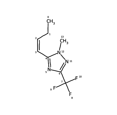 CC/C=C\c1nc(C(F)(F)F)nn1C